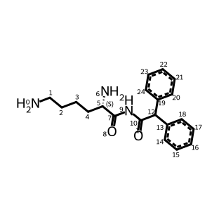 NCCCC[C@H](N)C(=O)NC(=O)C(c1ccccc1)c1ccccc1